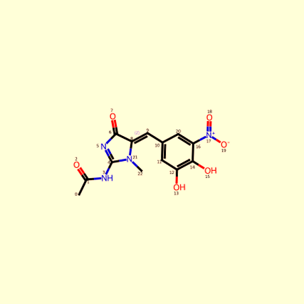 CC(=O)NC1=NC(=O)/C(=C/c2cc(O)c(O)c([N+](=O)[O-])c2)N1C